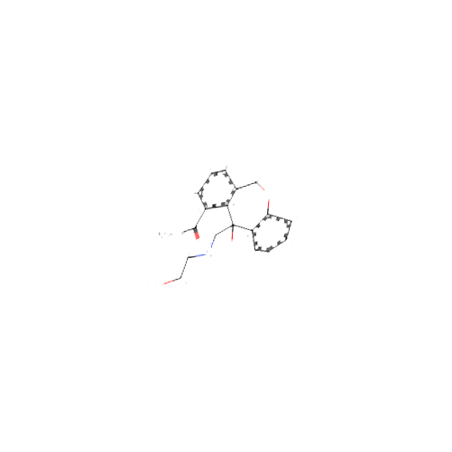 COC(=O)c1cccc2c1C(O)(CNCCO)c1ccccc1OC2